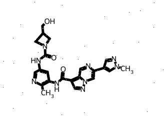 Cc1ncc(NC(=O)N2CC(CO)C2)cc1NC(=O)c1cnn2cc(-c3cnn(C)c3)ncc12